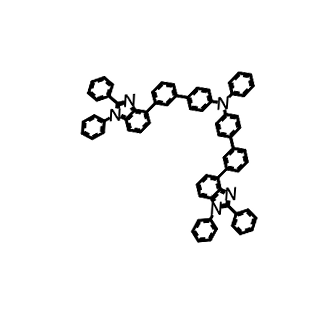 c1ccc(-c2nc3c(-c4cccc(-c5ccc(N(c6ccccc6)c6ccc(-c7cccc(-c8cccc9c8nc(-c8ccccc8)n9-c8ccccc8)c7)cc6)cc5)c4)cccc3n2-c2ccccc2)cc1